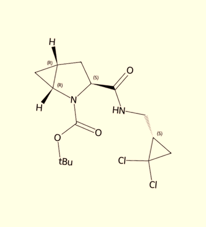 CC(C)(C)OC(=O)N1[C@@H]2C[C@@H]2C[C@H]1C(=O)NC[C@@H]1CC1(Cl)Cl